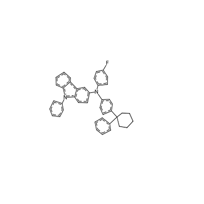 Fc1ccc(N(c2ccc(C3(c4ccccc4)CCCCC3)cc2)c2ccc3c(c2)c2ccccc2n3-c2ccccc2)cc1